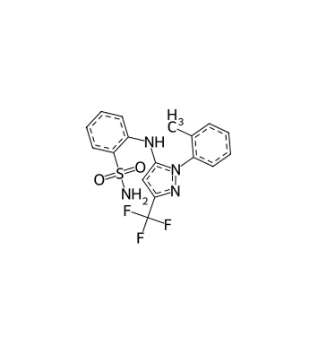 Cc1ccccc1-n1nc(C(F)(F)F)cc1Nc1ccccc1S(N)(=O)=O